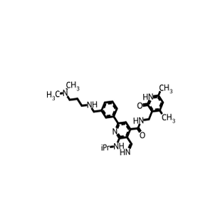 Cc1cc(C)c(CNC(=O)c2cc(-c3cccc(CNCCCN(C)C)c3)nc(NC(C)C)c2C=N)c(=O)[nH]1